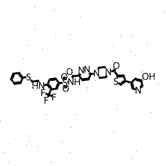 O=C(NS(=O)(=O)c1ccc(NCCSc2ccccc2)c(C(F)(F)F)c1)c1ccc(N2CCN(C(=O)c3cc(-c4cncc(O)c4)cs3)CC2)nn1